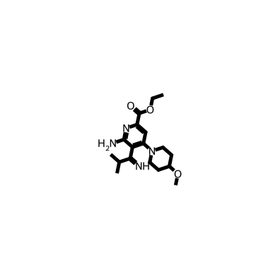 CCOC(=O)c1cc(N2CCC(OC)CC2)c(C(=N)C(C)C)c(N)n1